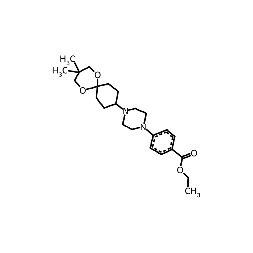 CCOC(=O)c1ccc(N2CCN(C3CCC4(CC3)OCC(C)(C)CO4)CC2)cc1